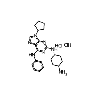 Cl.Cl.N[C@H]1CC[C@H](Nc2nc(Nc3ccccc3)c3ncn(C4CCCC4)c3n2)CC1